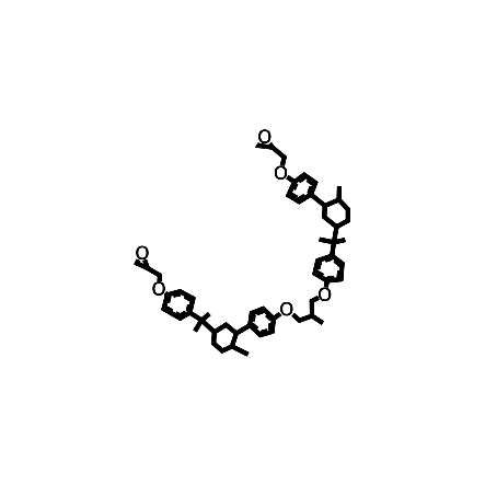 CC(COc1ccc(C2CC(C(C)(C)c3ccc(OCC4CO4)cc3)CCC2C)cc1)COc1ccc(C(C)(C)C2CCC(C)C(c3ccc(OCC4CO4)cc3)C2)cc1